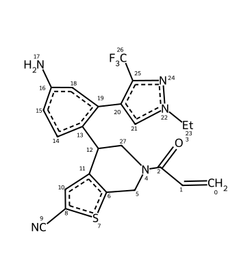 C=CC(=O)N1Cc2sc(C#N)cc2C(c2ccc(N)cc2-c2cn(CC)nc2C(F)(F)F)C1